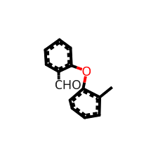 Cc1ccccc1Oc1ccccc1C=O